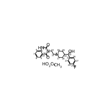 CC(=O)O.O=c1[nH]c2ccccc2c(=O)n1CCN1CCC(C(O)c2ccc(F)cc2)CC1